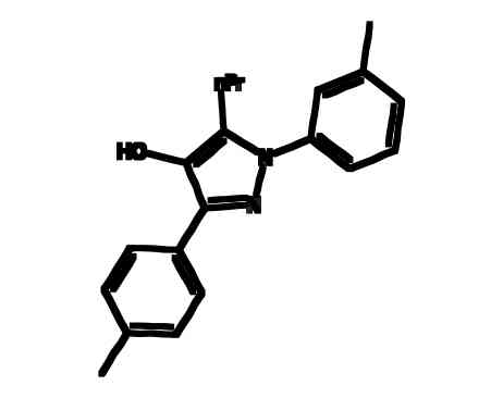 CCCc1c(O)c(-c2ccc(C)cc2)nn1-c1cccc(C)c1